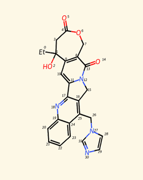 CCC1(O)CC(=O)OCc2c1cc1n(c2=O)Cc2c-1nc1ccccc1c2Cn1ccnc1